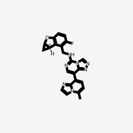 Cc1ccc(-c2cnc(NCc3c(F)ccc4c3[C@H]3CC3O4)n3cnnc23)c2nccn12